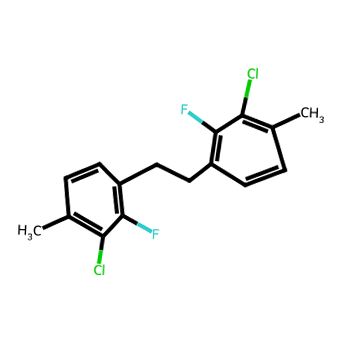 Cc1ccc(CCc2ccc(C)c(Cl)c2F)c(F)c1Cl